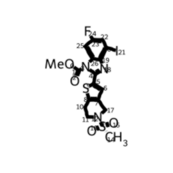 COC(=O)n1c(-c2cc3c(s2)CCN(S(C)(=O)=O)C3)nc2c(I)cc(F)cc21